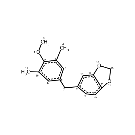 COc1c(C)cc(Cc2ccc3c(c2)OCO3)cc1C